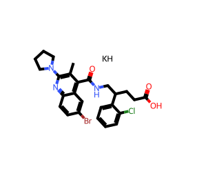 Cc1c(N2CCCC2)nc2ccc(Br)cc2c1C(=O)NCC(CCC(=O)O)c1ccccc1Cl.[KH]